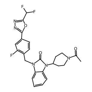 CC(=O)N1CCC(n2c(=O)n(Cc3ccc(-c4nnc(C(F)F)o4)cc3F)c3ccccc32)CC1